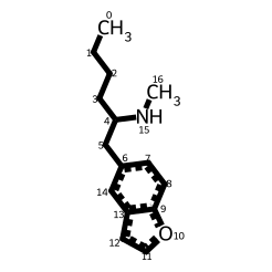 CCCCC(Cc1ccc2occc2c1)NC